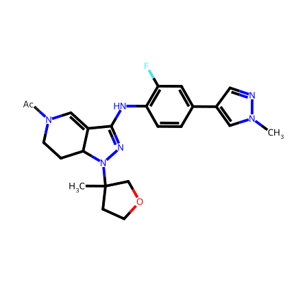 CC(=O)N1C=C2C(Nc3ccc(-c4cnn(C)c4)cc3F)=NN(C3(C)CCOC3)C2CC1